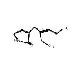 CC/C=C(\CC)CC1CCNC1=O